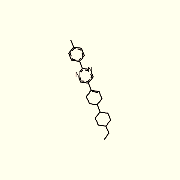 CCC1CCC(C2CC=C(c3cnc(-c4ccc(C)cc4)nc3)CC2)CC1